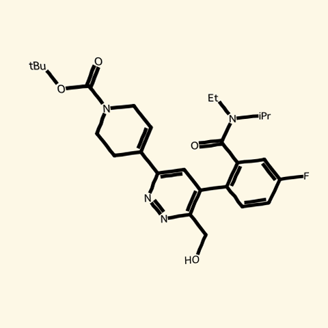 CCN(C(=O)c1cc(F)ccc1-c1cc(C2=CCN(C(=O)OC(C)(C)C)CC2)nnc1CO)C(C)C